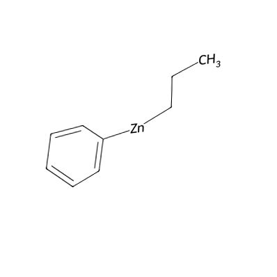 CC[CH2][Zn][c]1ccccc1